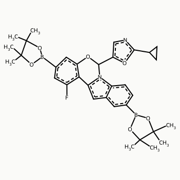 CC1(C)OB(c2cc(F)c3c(c2)OC(c2cnc(C4CC4)o2)n2c-3cc3cc(B4OC(C)(C)C(C)(C)O4)ccc32)OC1(C)C